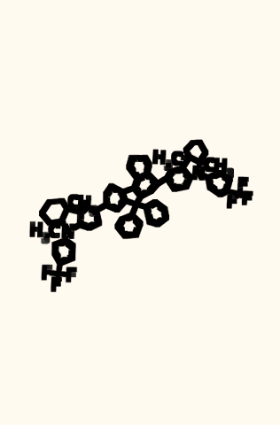 CC12CCCCC1(C)N(c1ccc(C(F)(F)F)cc1)c1ccc(-c3ccc4c(c3)C(c3ccccc3)(c3ccccc3)c3cc(-c5ccc6c(c5)C5(C)CCCCC5(C)N6c5ccc(C(F)(F)F)cc5)c5ccccc5c3-4)cc12